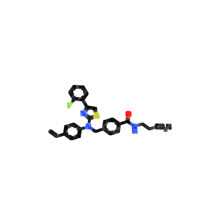 C=Cc1ccc(N(Cc2ccc(C(=O)NCCC(=O)O)cc2)c2nc(-c3ccccc3F)cs2)cc1